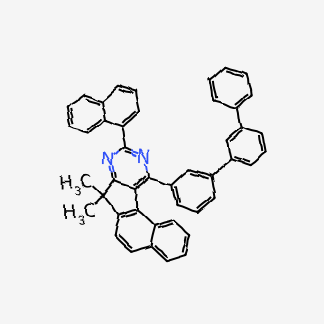 CC1(C)c2ccc3ccccc3c2-c2c(-c3cccc(-c4cccc(-c5ccccc5)c4)c3)nc(-c3cccc4ccccc34)nc21